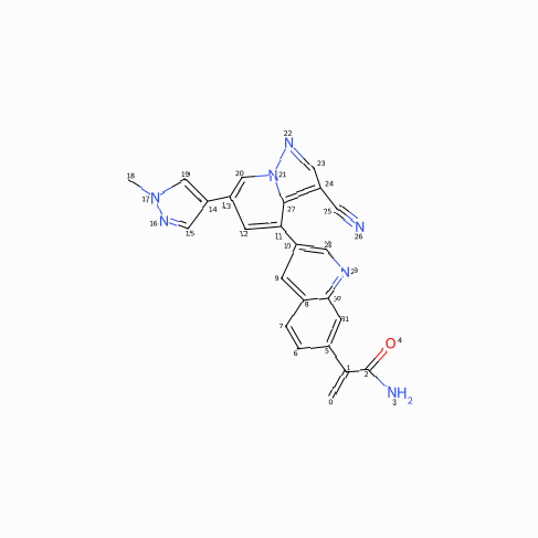 C=C(C(N)=O)c1ccc2cc(-c3cc(-c4cnn(C)c4)cn4ncc(C#N)c34)cnc2c1